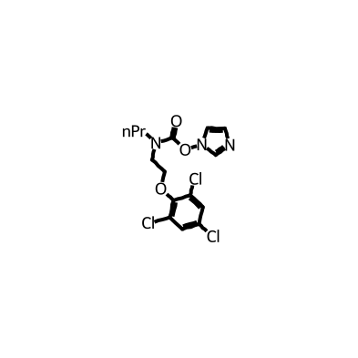 CCCN(CCOc1c(Cl)cc(Cl)cc1Cl)C(=O)On1ccnc1